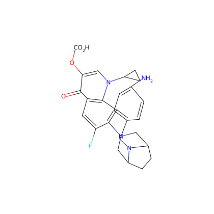 Nc1ccc(CN2C3CCC2CN(c2cc4c(cc2F)c(=O)c(OC(=O)O)cn4C2CC2)C3)cc1